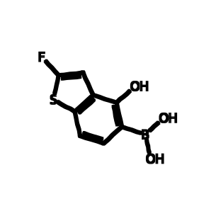 OB(O)c1ccc2sc(F)cc2c1O